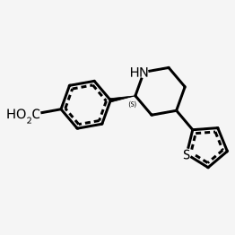 O=C(O)c1ccc([C@@H]2CC(c3cccs3)CCN2)cc1